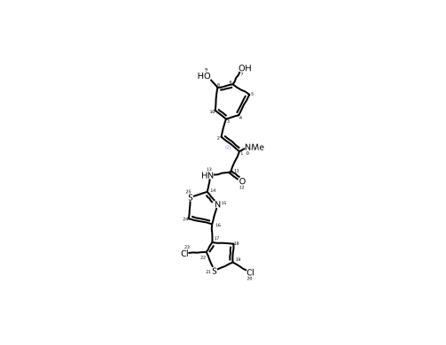 CN/C(=C\c1ccc(O)c(O)c1)C(=O)Nc1nc(-c2cc(Cl)sc2Cl)cs1